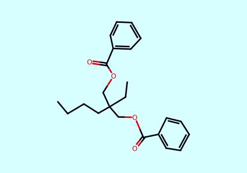 CCCCC(CC)(COC(=O)c1ccccc1)COC(=O)c1ccccc1